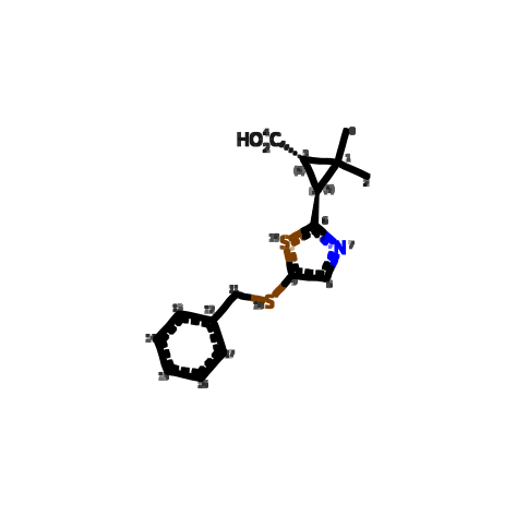 CC1(C)[C@@H](C(=O)O)[C@@H]1c1ncc(SCc2ccccc2)s1